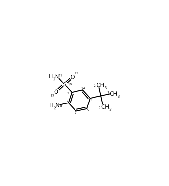 CC(C)(C)c1ccc(N)c(S(N)(=O)=O)c1